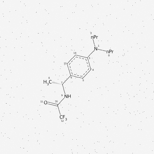 CCCN(CCC)c1ccc([C@@H](C)NC(=O)C(F)(F)F)cc1